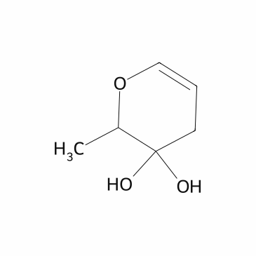 CC1OC=CCC1(O)O